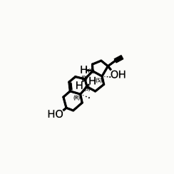 C#CC1(O)CC[C@H]2[C@@H]3CC=C4CC(O)CC[C@]4(C)[C@H]3CC[C@@]21C